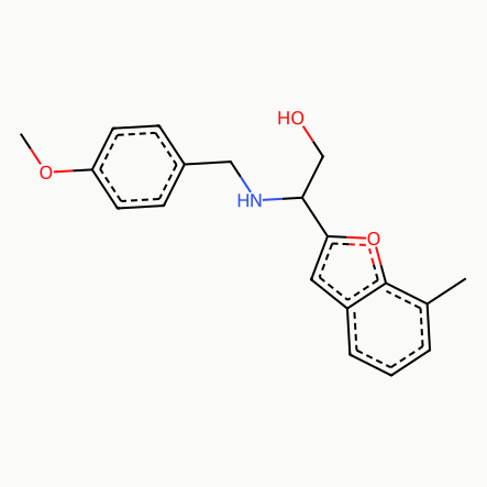 COc1ccc(CNC(CO)c2cc3cccc(C)c3o2)cc1